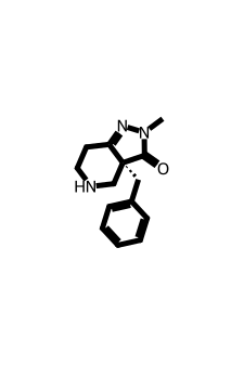 CN1N=C2CCNC[C@]2(Cc2ccccc2)C1=O